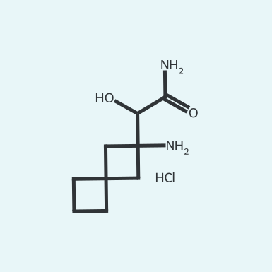 Cl.NC(=O)C(O)C1(N)CC2(CCC2)C1